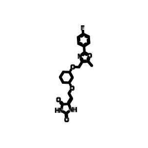 Cc1oc(-c2ccc(F)cc2)nc1CO[C@@H]1CCC[C@H](OCC=C2NC(=O)NC2=O)C1